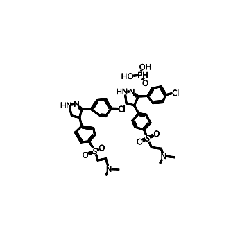 CN(C)CCS(=O)(=O)c1ccc(C2CNN=C2c2ccc(Cl)cc2)cc1.CN(C)CCS(=O)(=O)c1ccc(C2CNN=C2c2ccc(Cl)cc2)cc1.O=[PH](O)O